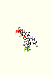 CC[C@@H](C)c1nc(C(F)(F)F)ccc1C=CC(=O)N[C@H](C)c1ccc(NS(C)(=O)=O)c(F)c1